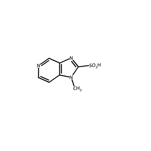 Cn1c(S(=O)(=O)O)nc2cnccc21